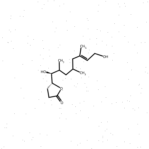 CC(=CCO)CC(C)CC(C)[C@H](O)[C@H]1CCC(=O)O1